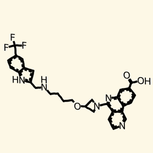 O=C(O)c1ccc2c(c1)nc(N1CC(OCCCCNCc3cc4cc(C(F)(F)F)ccc4[nH]3)C1)c1ccncc12